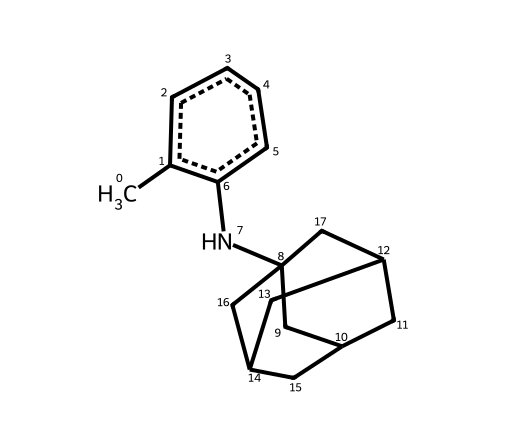 Cc1ccccc1NC12CC3CC(CC(C3)C1)C2